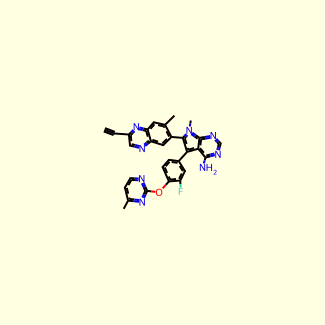 C#Cc1cnc2cc(-c3c(-c4ccc(Oc5nccc(C)n5)c(F)c4)c4c(N)ncnc4n3C)c(C)cc2n1